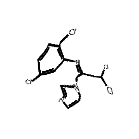 Clc1ccc(Cl)c(N=C(C(Cl)Cl)n2ccnc2)c1